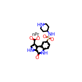 CCCOC(=O)c1c[nH]c2c(=O)[nH]c3ccc(S(=O)(=O)NC4CCNCC4)cc3c12